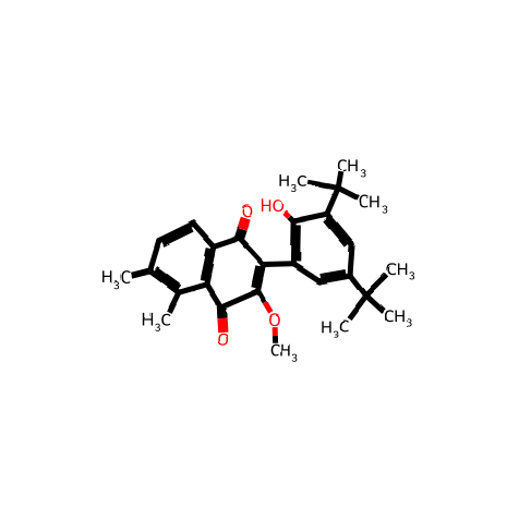 COC1=C(c2cc(C(C)(C)C)cc(C(C)(C)C)c2O)C(=O)c2ccc(C)c(C)c2C1=O